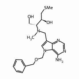 CSC[C@@H](O)[C@@H](CO)N(C)Cc1cn(COCc2ccccc2)c2c(N)ncnc12